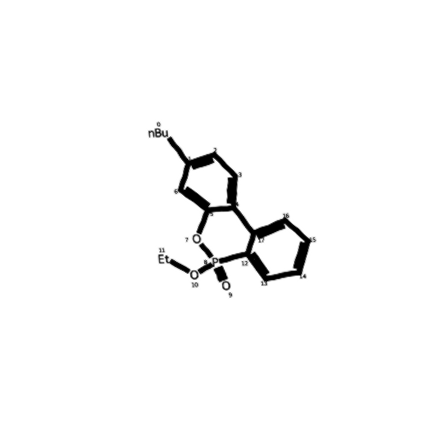 CCCCc1ccc2c(c1)OP(=O)(OCC)c1ccccc1-2